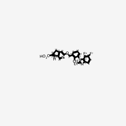 CCc1nc2ccc(F)c(F)c2n1-c1cccc(COc2cc3c(cn2)[C@H]2C(=C2C(=O)O)C3)c1C